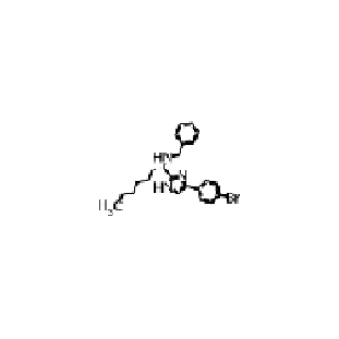 CCCCCC[C@H](NCc1ccccc1)c1nc(-c2ccc(Br)cc2)c[nH]1